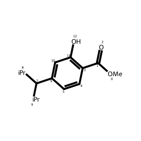 COC(=O)c1ccc(C(C(C)C)C(C)C)cc1O